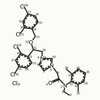 CCN(C(=O)Cn1cc[n+](CC(OCc2ccc(Cl)cc2Cl)c2ccc(Cl)cc2Cl)c1)c1c(C)cccc1C.[Cl-]